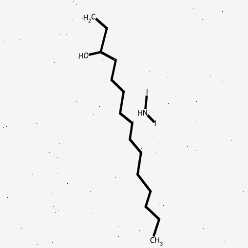 INI.[CH2]CC(O)CCCCCCCCCCCC